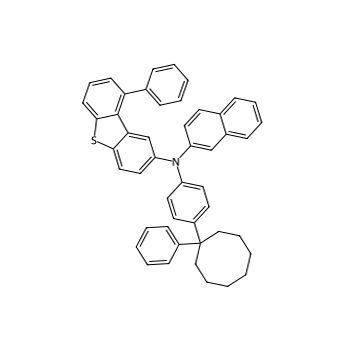 c1ccc(-c2cccc3sc4ccc(N(c5ccc(C6(c7ccccc7)CCCCCCC6)cc5)c5ccc6ccccc6c5)cc4c23)cc1